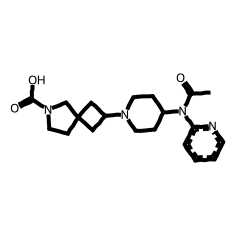 CC(=O)N(c1ccccn1)C1CCN(C2CC3(CCN(C(=O)O)C3)C2)CC1